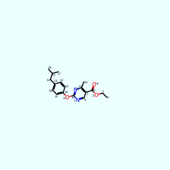 CCOC(=O)c1cnc(Oc2ccc(CC(C)C)cc2)nc1C